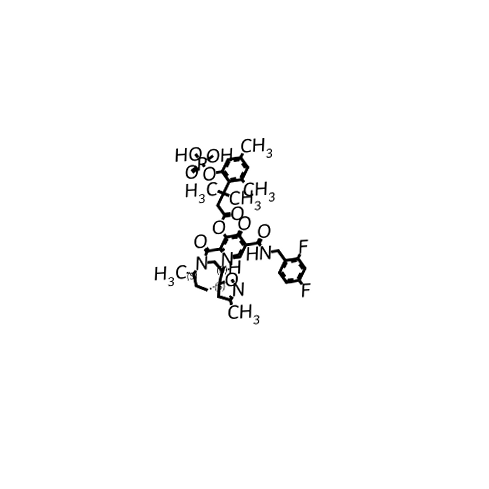 CC1=NO[C@@]2(CC[C@H](C)N3C[C@H]2n2cc(C(=O)NCc4ccc(F)cc4F)c(=O)c(OC(=O)CC(C)(C)c4c(C)cc(C)cc4OP(=O)(O)O)c2C3=O)C1